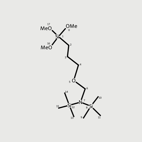 CO[Si](CCCOCN([Si](C)(C)C)[Si](C)(C)C)(OC)OC